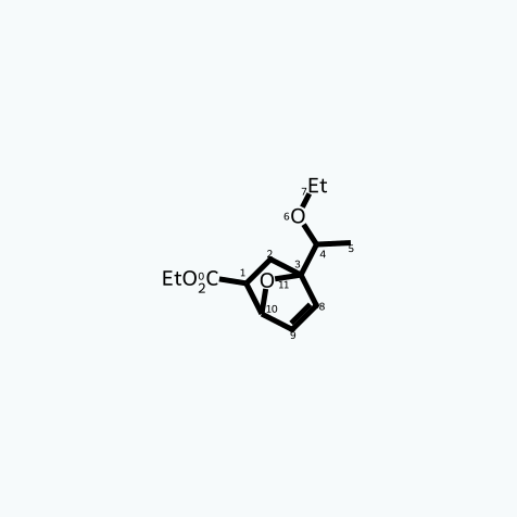 CCOC(=O)C1CC2(C(C)OCC)C=CC1O2